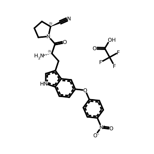 N#C[C@@H]1CCCN1C(=O)[C@@H](N)Cc1c[nH]c2ccc(Oc3ccc([N+](=O)[O-])cc3)cc12.O=C(O)C(F)(F)F